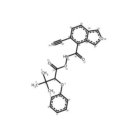 CC(C)(C)C(Oc1ccccc1)C(=O)ONC(=O)c1c(C#N)ccc2cocc12